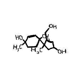 CC1(O)C=CC(C)(C2(C)CC(O)C=C2CO)CC1